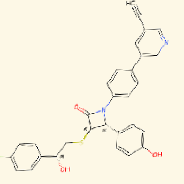 C#Cc1cncc(-c2ccc(N3C(=O)[C@H](SC[C@H](O)c4ccc(F)cc4)[C@H]3c3ccc(O)cc3)cc2)c1